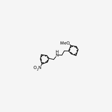 COc1ccccc1CCNCc1cccc([N+](=O)[O-])c1